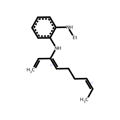 C=C/C(=C/CC/C=C\C)Nc1ccccc1NCC